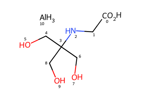 O=C(O)CNC(CO)(CO)CO.[AlH3]